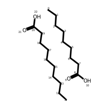 CCCCCCCCC(=O)O.CCCCCCCCCC(=O)O